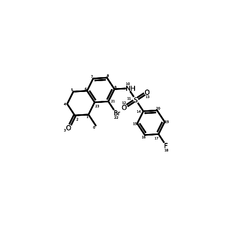 CC1C(=O)CCc2ccc(NS(=O)(=O)c3ccc(F)cc3)c(Br)c21